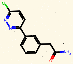 NC(=O)Cc1cccc(-c2ccc(Cl)nn2)c1